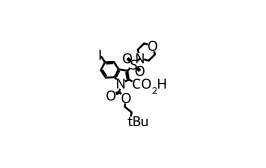 CC(C)(C)CCOC(=O)n1c(C(=O)O)c(S(=O)(=O)N2CCOCC2)c2cc(I)ccc21